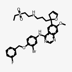 CCS(=O)(=O)CCNCCCC1(c2cc3c(Nc4ccc(OCc5cccc(F)c5)c(Br)c4)ncnc3cc2OC)CC=CO1